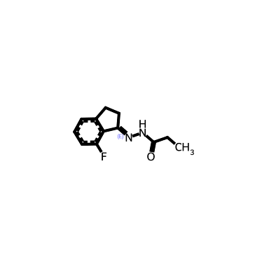 CCC(=O)N/N=C1\CCc2cccc(F)c21